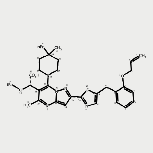 C=CCOc1ccccc1Cc1cnc(-c2cc3nc(C)c([C@H](OC(C)(C)C)C(=O)O)c(N4CCC(C)(CCC)CC4)n3n2)s1